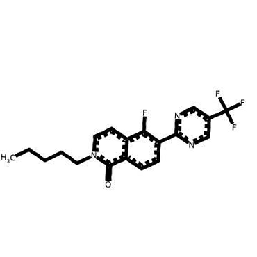 CCCCCn1ccc2c(F)c(-c3ncc(C(F)(F)F)cn3)ccc2c1=O